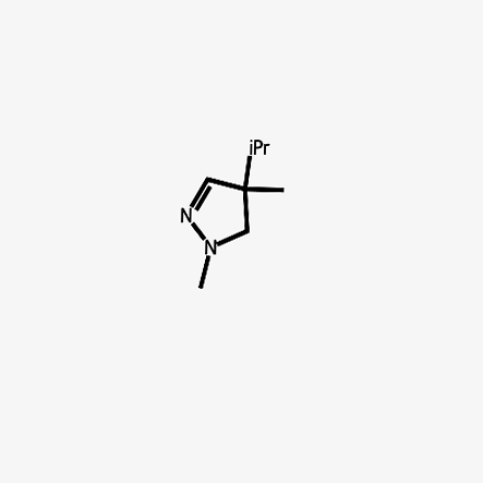 CC(C)C1(C)C=NN(C)C1